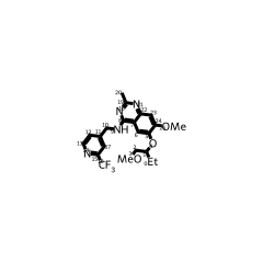 CCC(COC)Oc1cc2c(NCc3ccnc(C(F)(F)F)c3)nc(C)nc2cc1OC